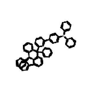 c1ccc(N(c2ccccc2)c2ccc(-c3cccc(C4(c5ccccc5)c5ccccc5C5(c6ccccc6)c6ccccc6-c6cccc4c65)c3)cc2)cc1